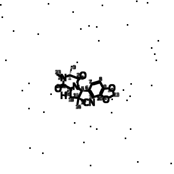 C[C@@H]1C(=O)N2[C@@H](c3ccc4c(c3)OCO4)[C@@](C)(C#N)C[C@H]2C(=O)N1C